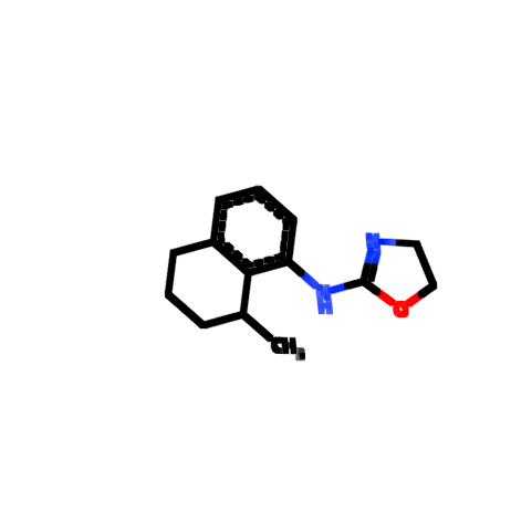 CC1CCCc2cccc(NC3=NCCO3)c21